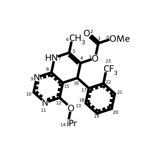 COC(=O)OC1=C(C)Nc2ncnc(OC(C)C)c2C1c1ccccc1C(F)(F)F